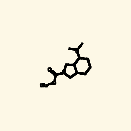 CN(C)C1CCCC2CN(C(=O)OC(C)(C)C)CC21